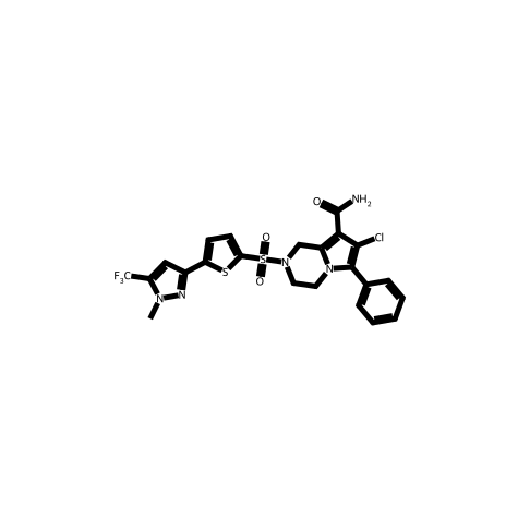 Cn1nc(-c2ccc(S(=O)(=O)N3CCn4c(c(C(N)=O)c(Cl)c4-c4ccccc4)C3)s2)cc1C(F)(F)F